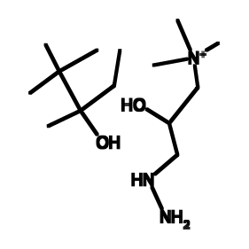 CCC(C)(O)C(C)(C)C.C[N+](C)(C)CC(O)CNN